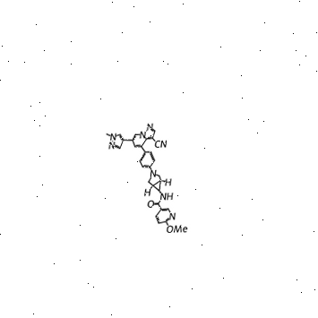 COc1ccc(C(=O)N[C@H]2[C@@H]3CN(c4ccc(-c5cc(-c6cnn(C)c6)cn6ncc(C#N)c56)cc4)C[C@@H]32)cn1